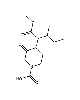 CCC(C)C(C(=O)OC)N1CCN(C(=O)O)CC1=O